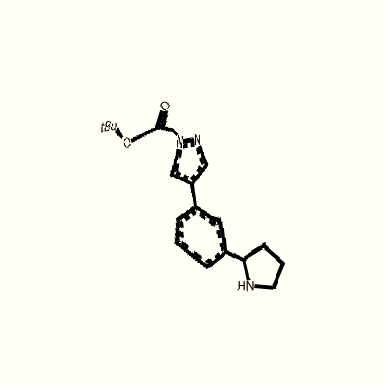 CC(C)(C)OC(=O)n1cc(-c2cccc(C3CCCN3)c2)cn1